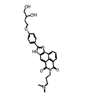 CN(C)CCCN1C(=O)c2cccc3c2c(cc2[nH]c(-c4ccc(OCCC(O)CO)cc4)nc23)C1=O